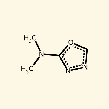 CN(C)c1nnco1